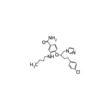 CCCCNc1cc(C(N)=O)ccc1OC(CCc1ccc(Cl)cc1)Cn1ccnc1